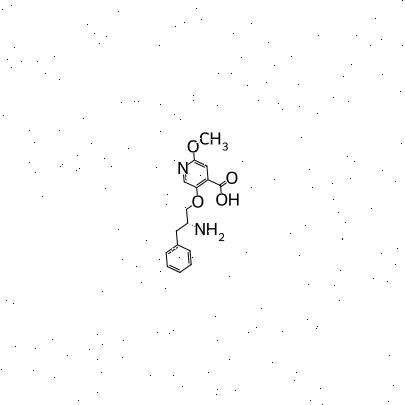 COc1cc(C(=O)O)c(OC[C@H](N)Cc2ccccc2)cn1